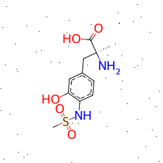 C[C@](N)(Cc1ccc(NS(C)(=O)=O)c(O)c1)C(=O)O